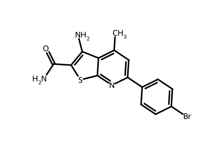 Cc1cc(-c2ccc(Br)cc2)nc2sc(C(N)=O)c(N)c12